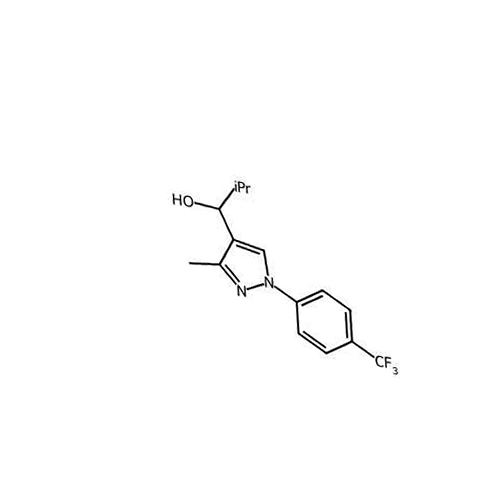 Cc1nn(-c2ccc(C(F)(F)F)cc2)cc1C(O)C(C)C